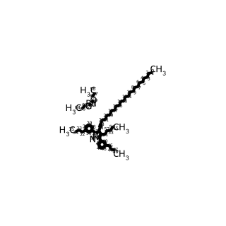 CCCCCCCCCCCCCCCCCCCCCCCC#CC1=C(c2cccc(CCCC)c2)[N+](=[N-])C(c2cccc(CCCC)c2)=C1CCCCC.CCC[O][Pd][O]CCC